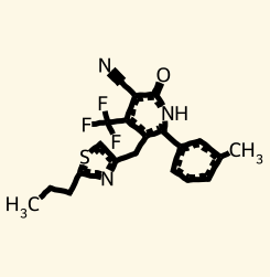 CCCc1nc(Cc2c(-c3cccc(C)c3)[nH]c(=O)c(C#N)c2C(F)(F)F)cs1